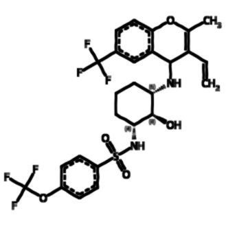 C=CC1=C(C)Oc2ccc(C(F)(F)F)cc2C1N[C@H]1CCC[C@@H](NS(=O)(=O)c2ccc(OC(F)(F)F)cc2)[C@@H]1O